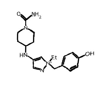 CC[N+]1(Cc2ccc(O)cc2)C=C(NC2CCN(C(N)=O)CC2)C=N1